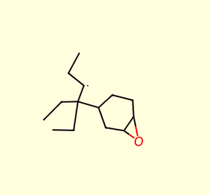 CC[CH]C(CC)(CC)C1CCC2OC2C1